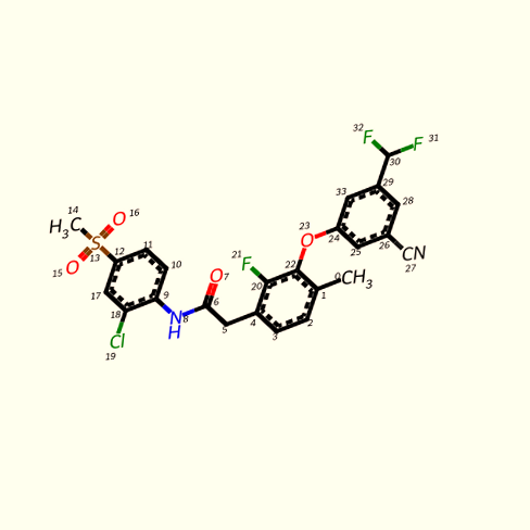 Cc1ccc(CC(=O)Nc2ccc(S(C)(=O)=O)cc2Cl)c(F)c1Oc1cc(C#N)cc(C(F)F)c1